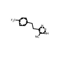 N#Cc1[nH]nnc1CCc1ccc(C(F)(F)F)cc1